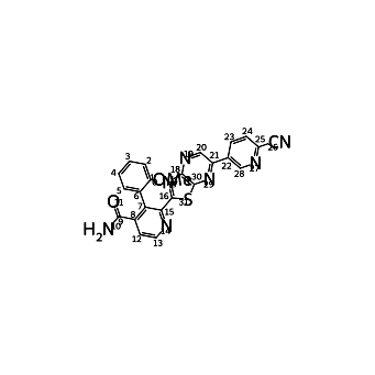 COc1ccccc1-c1c(C(N)=O)ccnc1-c1nc2ncc(-c3ccc(C#N)nc3)nc2s1